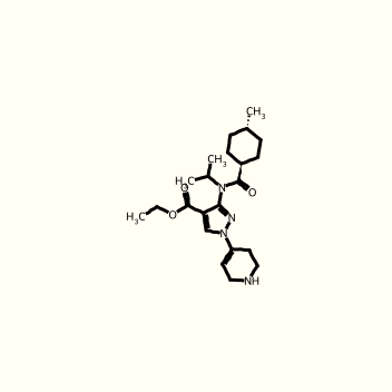 CCOC(=O)c1cn(C2=CCNCC2)nc1N(C(=O)[C@H]1CC[C@H](C)CC1)C(C)C